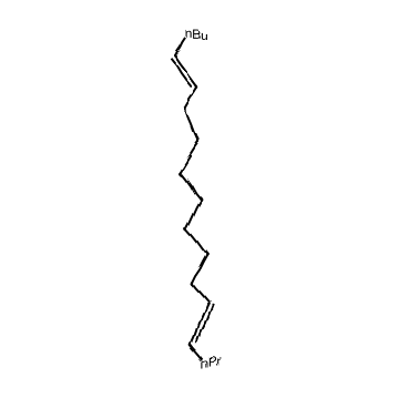 [CH2]CCC=CCCCCCCCC=CCCCC